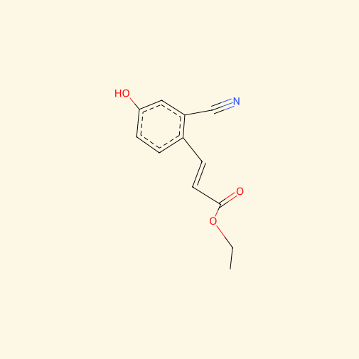 CCOC(=O)/C=C/c1ccc(O)cc1C#N